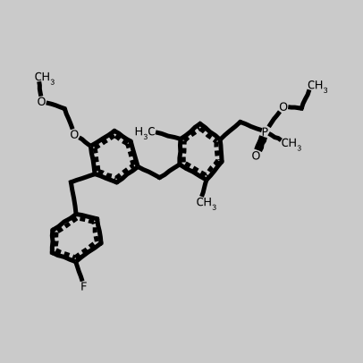 CCOP(C)(=O)Cc1cc(C)c(Cc2ccc(OCOC)c(Cc3ccc(F)cc3)c2)c(C)c1